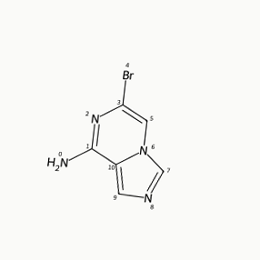 Nc1nc(Br)cn2cncc12